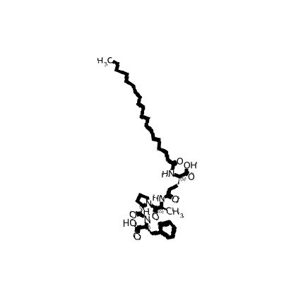 CCCCCCCCCCCCCCCCCCCC(=O)N[C@@H](CCC(=O)N[C@@H](C)C(=O)N1CCC[C@H]1C(=O)N[C@@H](Cc1ccccc1)C(=O)O)C(=O)O